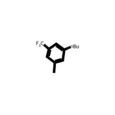 CCCCc1cc(C)cc(C(F)(F)F)c1